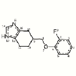 Fc1ccccc1OCC1CCc2[nH]cnc2C1